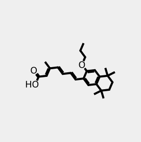 CCCOc1cc2c(cc1C=CC=CC(C)=CC(=O)O)C(C)(C)CCC2(C)C